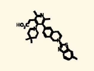 Cc1ccc2nc(N3CCc4cc(-c5c(C)nc(C)c(CC(=O)O)c5N5CCC(C)(C)CC5)ccc4C3)sc2c1